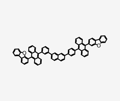 c1cc(-c2ccc3ccc(-c4ccc(-c5c6ccccc6c(-c6ccc7c(c6)oc6ccccc67)c6ccccc56)cc4)cc3c2)cc(-c2c3ccccc3c(-c3cccc4c3oc3ccccc34)c3ccccc23)c1